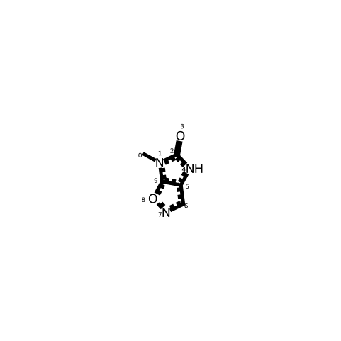 Cn1c(=O)[nH]c2cnoc21